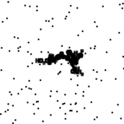 CCN1C=C(C(=O)O)C(=O)C2C=C(F)C(N3CCN(C(=O)OCc4ccc(NC[C@@H](CCCNC(N)=O)n5cc([C@H](Cc6ccc(F)cc6)NC(=O)OCc6ccccc6)nn5)cc4)CC3)=CC21